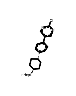 CCCCCCC[C@H]1CC[C@H](c2ccc(-c3cnc(Cl)nc3)cc2)CC1